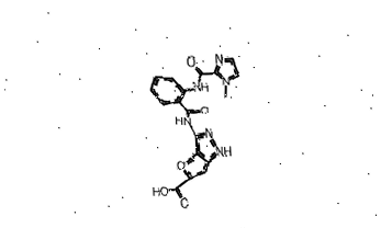 Cn1ccnc1C(=O)Nc1ccccc1C(=O)Nc1n[nH]c2cc(C(=O)O)oc12